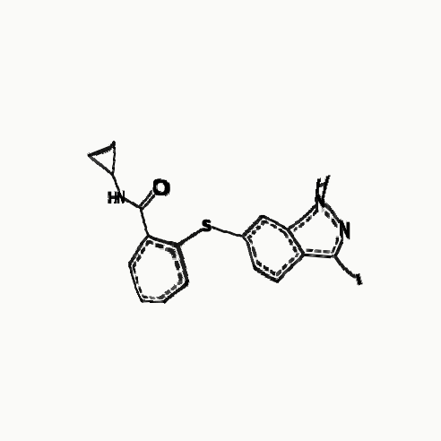 O=C(NC1CC1)c1ccccc1Sc1ccc2c(I)n[nH]c2c1